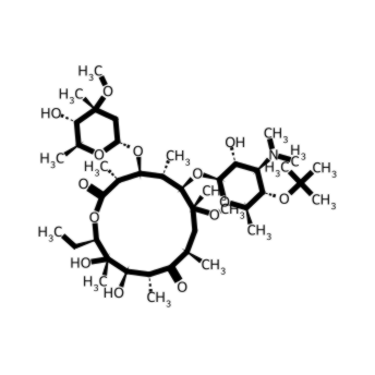 CC[C@H]1OC(=O)[C@H](C)[C@@H](O[C@H]2C[C@@](C)(OC)[C@@H](O)[C@H](C)O2)[C@H](C)[C@@H](O[C@@H]2O[C@H](C)[C@@H](OC(C)(C)C)[C@H](N(C)C)[C@H]2O)[C@](C)(OC)C[C@@H](C)C(=O)[C@H](C)[C@@H](O)[C@]1(C)O